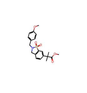 COC(=O)C(C)(C)c1ccc2c(c1)S(=O)(=O)N(Cc1ccc(OC)cc1)C2